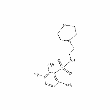 Cc1ccc([N+](=O)[O-])c(C(=O)O)c1S(=O)(=O)NCCN1CCOCC1